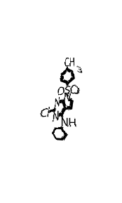 Cc1ccc(S(=O)(=O)n2ccc3c(NC4CCCCC4)nc(Cl)nc32)cc1